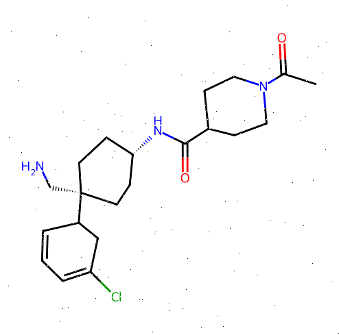 CC(=O)N1CCC(C(=O)N[C@H]2CC[C@](CN)(C3C=CC=C(Cl)C3)CC2)CC1